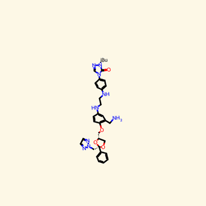 CCC(C)n1ncn(-c2ccc(NCCNc3ccc(OC[C@@H]4CO[C@@](Cn5nccn5)(c5ccccc5)O4)c(CN)c3)cc2)c1=O